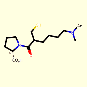 CC(=O)N(C)CCCCC(CS)C(=O)N1CCC[C@H]1C(=O)O